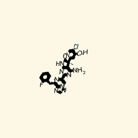 C[C@@]1(c2cc(O)c(Cl)cn2)C(=O)Nc2nc(-c3cn4ncnc4c(Cc4ccccc4F)n3)nc(N)c21